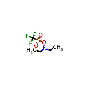 CCN(CC)OS(=O)(=O)C(F)(F)F